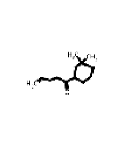 C=CCCC(=O)C1[CH]C(C)(C)CCC1